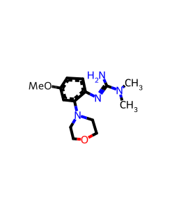 COc1ccc(/N=C(\N)N(C)C)c(N2CCOCC2)c1